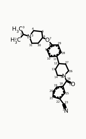 CC(C)N1CCC(Oc2ccc(C3CCN(C(=O)c4cccc(C#N)c4)CC3)cc2)CC1